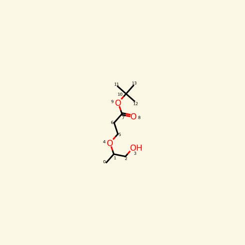 CC(CO)OCCC(=O)OC(C)(C)C